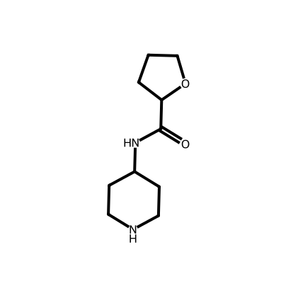 O=C(NC1CCNCC1)C1CCCO1